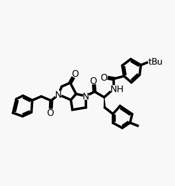 Cc1ccc(C[C@H](NC(=O)c2ccc(C(C)(C)C)cc2)C(=O)N2CCC3C2C(=O)CN3C(=O)Cc2ccccc2)cc1